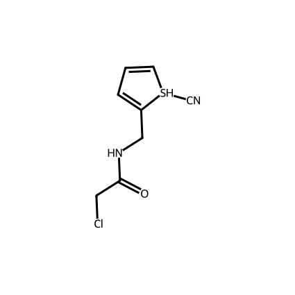 N#C[SH]1C=CC=C1CNC(=O)CCl